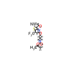 CNC(=O)c1csc2c(C(F)(F)F)cc(OC3CC4(C3)CN(C(=O)O[C@H](C)C3CC3)C4)nc12